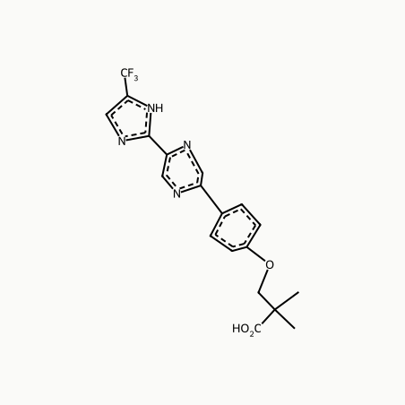 CC(C)(COc1ccc(-c2cnc(-c3ncc(C(F)(F)F)[nH]3)cn2)cc1)C(=O)O